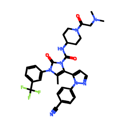 Cc1c(-c2ccnn2-c2ccc(C#N)cc2)n(C(=O)NC2CCN(C(=O)CN(C)C)CC2)c(=O)n1-c1cccc(C(F)(F)F)c1